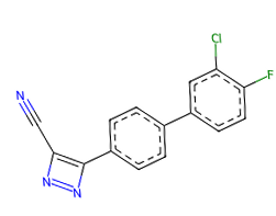 N#CC1=C(c2ccc(-c3ccc(F)c(Cl)c3)cc2)N=N1